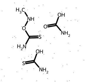 CNOC(N)=S.NC(=O)O.NC(O)=S